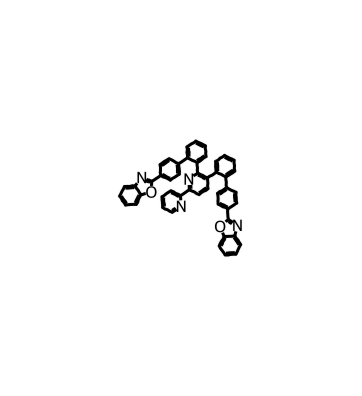 c1ccc(-c2ccc(-c3ccccc3-c3ccc(-c4nc5ccccc5o4)cc3)c(-c3ccccc3-c3ccc(-c4nc5ccccc5o4)cc3)n2)nc1